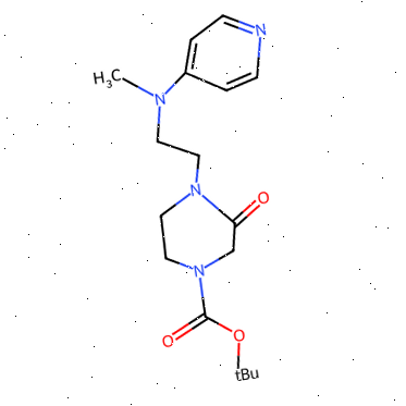 CN(CCN1CCN(C(=O)OC(C)(C)C)CC1=O)c1ccncc1